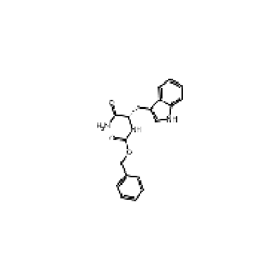 NC(=O)[C@H](Cc1c[nH]c2ccccc12)NC(=O)OCc1ccccc1